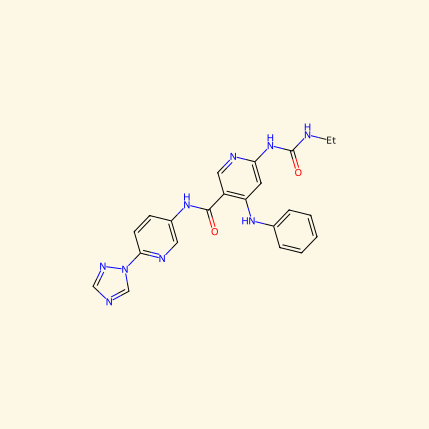 CCNC(=O)Nc1cc(Nc2ccccc2)c(C(=O)Nc2ccc(-n3cncn3)nc2)cn1